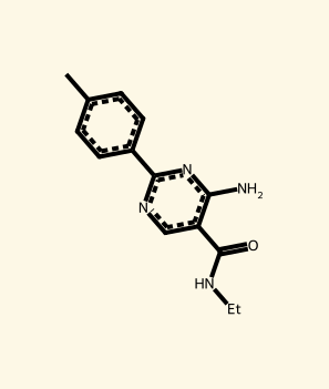 CCNC(=O)c1cnc(-c2ccc(C)cc2)nc1N